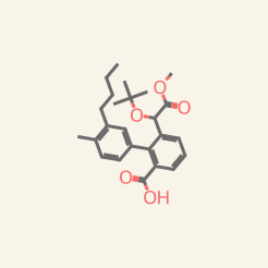 CCCCc1cc(-c2c(C(=O)O)cccc2C(OC(C)(C)C)C(=O)OC)ccc1C